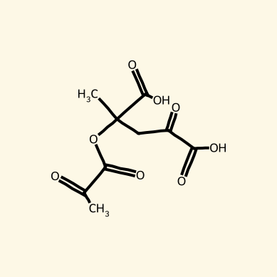 CC(=O)C(=O)OC(C)(CC(=O)C(=O)O)C(=O)O